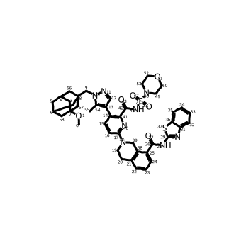 COC12CC3CC(CC(Cn4ncc(-c5ccc(N6CCc7cccc(C(=O)Nc8nc9ccccc9s8)c7C6)nc5C(=O)NS(=O)(=O)N5CCOCC5)c4C)(C3)C1)C2